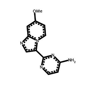 COc1ccn2c(-c3nccc(N)n3)cnc2c1